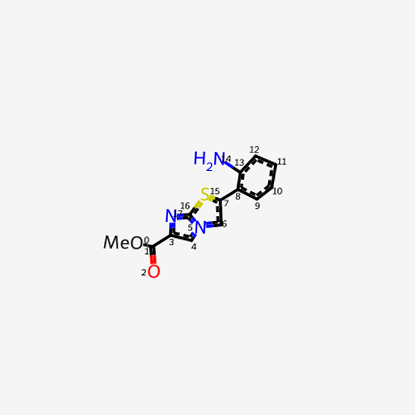 COC(=O)c1cn2cc(-c3ccccc3N)sc2n1